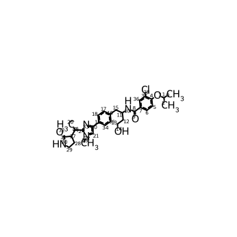 CC(C)Oc1ccc(C(=O)NC(CCO)Cc2ccc(-c3cn(C)c([C@H](C)C4CCNC4=O)n3)cc2)cc1Cl